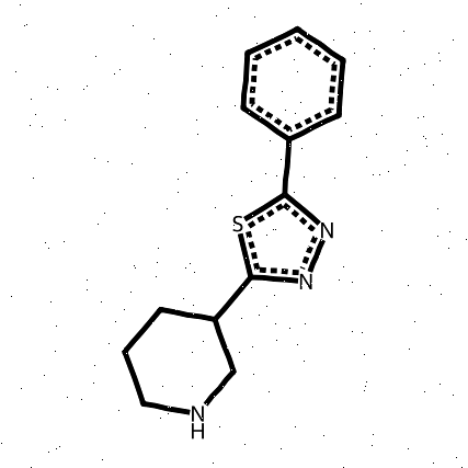 c1ccc(-c2nnc(C3CCCNC3)s2)cc1